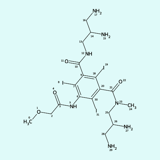 COCC(=O)Nc1c(I)c(C(=O)NCC(N)CN)c(I)c(C(=O)N(C)CC(N)CN)c1I